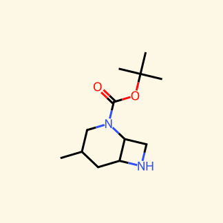 CC1CC2NCC2N(C(=O)OC(C)(C)C)C1